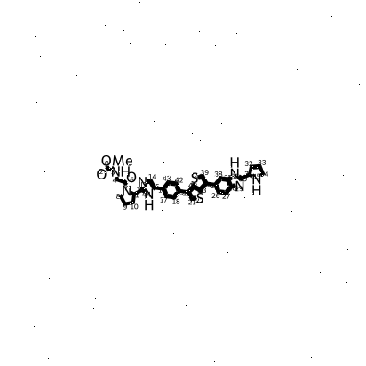 COC(=O)NCC(=O)N1CCCC1c1ncc(-c2ccc(-c3csc4c(-c5ccc6nc(C7C=CCN7)[nH]c6c5)csc34)cc2)[nH]1